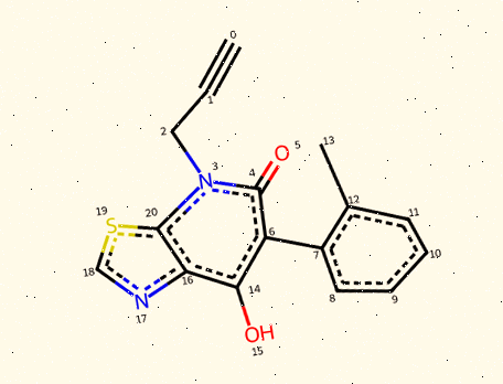 C#CCn1c(=O)c(-c2ccccc2C)c(O)c2ncsc21